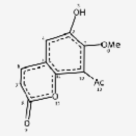 COc1c(O)cc2ccc(=O)oc2c1C(C)=O